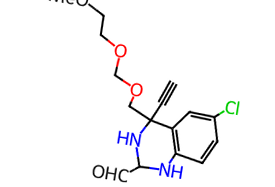 C#CC1(COCOCCOC)NC(C=O)Nc2ccc(Cl)cc21